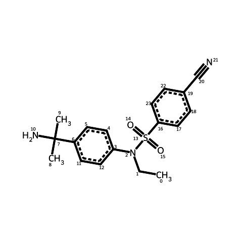 CCN(c1ccc(C(C)(C)N)cc1)S(=O)(=O)c1ccc(C#N)cc1